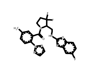 Cc1ccc(-n2nccn2)c(C(=O)N2CCC(F)(F)C2CNc2nc3cc(F)ccc3o2)c1